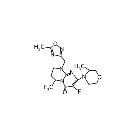 Cc1nc(CN2CCC(C(F)(F)F)n3c2nc(N2CCOCC2C)c(F)c3=O)no1